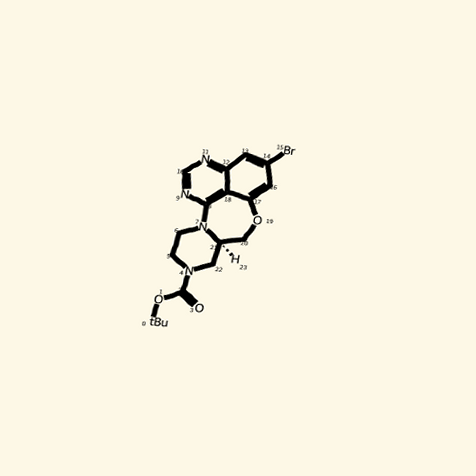 CC(C)(C)OC(=O)N1CCN2c3ncnc4cc(Br)cc(c34)OC[C@H]2C1